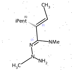 C/C=C(/C(=N/N(C)N)NC)[C@@H](C)CCC